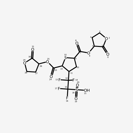 O=C1OCCC1OC(=O)C1CC(C(F)(F)C(F)(F)S(=O)(=O)O)C(C(=O)OC2CCOC2=O)S1